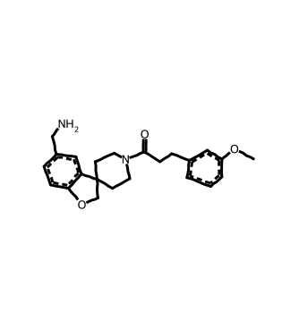 COc1cccc(CCC(=O)N2CCC3(CC2)COc2ccc(CN)cc23)c1